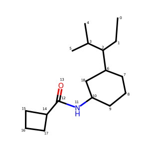 CCC(C(C)C)C1CCCC(NC(=O)C2CCC2)C1